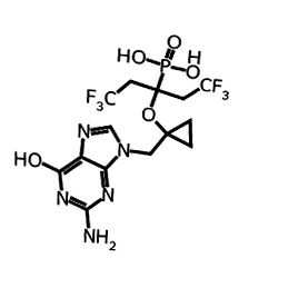 Nc1nc(O)c2ncn(CC3(OC(CC(F)(F)F)(CC(F)(F)F)P(=O)(O)O)CC3)c2n1